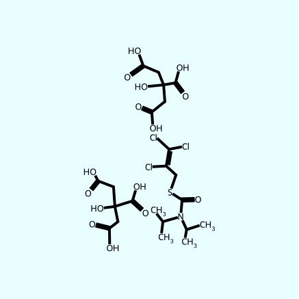 CC(C)N(C(=O)SCC(Cl)=C(Cl)Cl)C(C)C.O=C(O)CC(O)(CC(=O)O)C(=O)O.O=C(O)CC(O)(CC(=O)O)C(=O)O